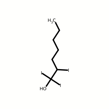 CCCCCC(I)C(O)(I)I